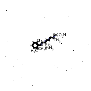 CC1=C(/C=C/C(C)=C/C=C/C(C)=C/C(=O)O)C(C)(C)CCC1.[AsH3]